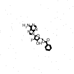 Nc1ncnc2c1ncn2[C@@H]1O[C@H](COC(=O)c2ccccc2)[C@@H](O)[C@H]1F